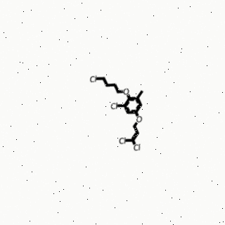 Cc1cc(OCC=C(Cl)Cl)cc(Cl)c1OCCCCCl